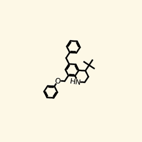 CC(C)(C)C1CCNc2c(COc3ccccc3)cc(Cc3ccccc3)cc21